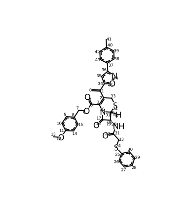 C=C(C1=C(C(=O)OCc2ccc(OC)cc2)N2C(=O)[C@@H](NC(=O)CSc3ccccc3)[C@H]2SC1)c1cc(-c2ccc(C)cc2)no1